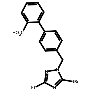 CCc1nc(C(C)(C)C)n(Cc2ccc(-c3ccccc3C(=O)O)cc2)n1